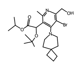 Cc1nc(CO)c(Br)c(N2CCC3(CCC3)CC2)c1C(OC(C)(C)C)C(=O)OC(C)C